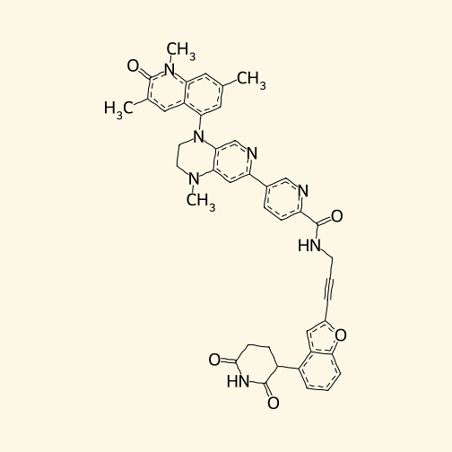 Cc1cc(N2CCN(C)c3cc(-c4ccc(C(=O)NCC#Cc5cc6c(C7CCC(=O)NC7=O)cccc6o5)nc4)ncc32)c2cc(C)c(=O)n(C)c2c1